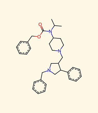 CC(C)N(C(=O)OCc1ccccc1)C1CCN(CC2CN(Cc3ccccc3)CC2c2ccccc2)CC1